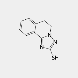 Sc1nc2n(n1)CCc1ccccc1-2